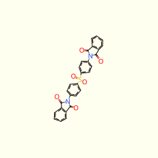 O=C1c2ccccc2C(=O)N1c1ccc(S(=O)(=O)c2ccc(N3C(=O)c4ccccc4C3=O)cc2)cc1